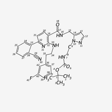 CC(C)(C)OC(=O)NCCn1nccc1CNC(=O)c1ccc(-c2ccccc2C#N)nc1NCCc1cccc(F)c1